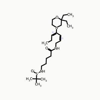 CC/C=C(\C=C/CNC(=O)CCCCN[S+]([O-])C(C)(C)C)N1CCOC(CC)(CC)C1